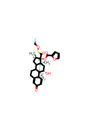 C[C@@H]1CC2C3CCC4=CC(=O)C=C[C@]4(C)[C@@]3(F)[C@@H](O)C[C@]2(C)[C@@]1(OC(=O)c1ccco1)C(=O)SOCF